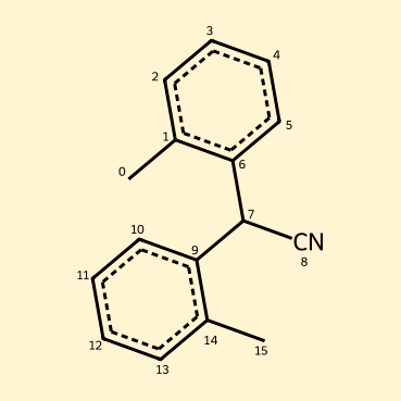 Cc1ccccc1C(C#N)c1ccccc1C